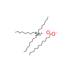 CCCCCCCCCCCC(=O)[O-].CCCCCCC[CH2][Sn+]([CH2]CCCCCCC)[CH2]CCCCCCC